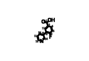 O=C(O)c1ccc(F)c(-c2cccnc2)c1